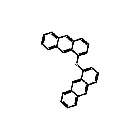 c1ccc2cc3c(Oc4cccc5cc6ccccc6cc45)cccc3cc2c1